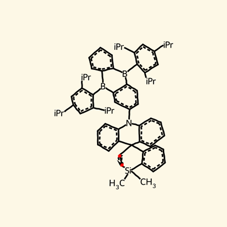 CC(C)c1cc(C(C)C)c(B2c3ccccc3B(c3c(C(C)C)cc(C(C)C)cc3C(C)C)c3cc(N4c5ccccc5C5(c6ccccc64)c4ccccc4[Si](C)(C)c4ccccc45)ccc32)c(C(C)C)c1